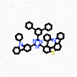 c1ccc(-c2cc(-c3ccccc3)cc(-c3nc(-c4ccc5c6ccccc6n(-c6ccccc6)c5c4)nc(-c4ccc5sc6ccc7c8ccccc8n8c9ccccc9c4c5c6c78)n3)c2)cc1